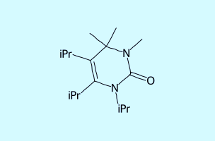 CC(C)C1=C(C(C)C)C(C)(C)N(C)C(=O)N1C(C)C